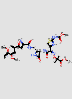 C=C(/C=C(OCCCC)\C(=C/C)OCCCC)c1cc(C(=O)NC[C@H]2NC(=O)[C@H]2NC(=O)/C(=N\OC(C)(C)C(=O)OC(C)(C)C)c2csc(NC(=O)OC(C)(C)C)n2)no1